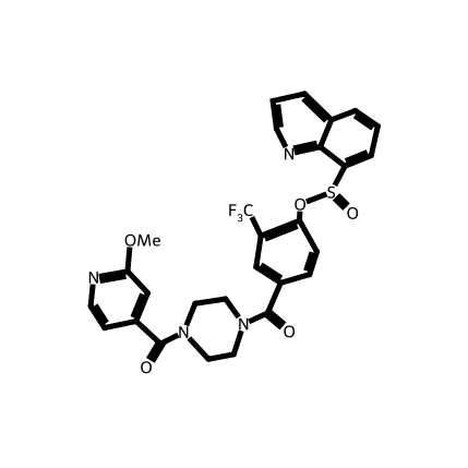 COc1cc(C(=O)N2CCN(C(=O)c3ccc(OS(=O)c4cccc5cccnc45)c(C(F)(F)F)c3)CC2)ccn1